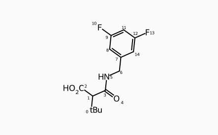 CC(C)(C)C(C(=O)O)C(=O)NCc1cc(F)cc(F)c1